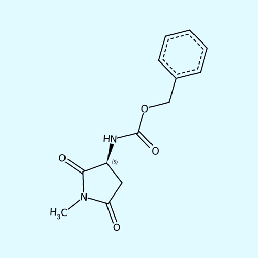 CN1C(=O)C[C@H](NC(=O)OCc2ccccc2)C1=O